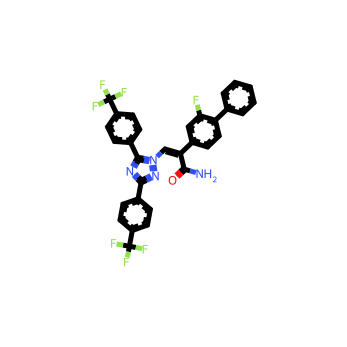 NC(=O)C(=Cn1nc(-c2ccc(C(F)(F)F)cc2)nc1-c1ccc(C(F)(F)F)cc1)c1ccc(-c2ccccc2)c(F)c1